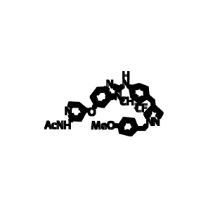 COc1ccc(Cn2cc(Cc3ccc(Nc4nc5ccc(Oc6ccnc(NC(C)=O)c6)cc5n4C)cc3C(F)(F)F)cn2)cc1